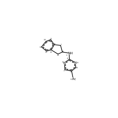 CC(=O)c1cnc(NC2Cc3ccccc3C2)nc1